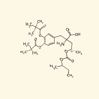 CCC(C)OC(=O)O[C@@H](C)CC(N)(Cc1ccc(OC(=O)C(C)(C)C)c(OC(=O)C(C)(C)C)c1)C(=O)O